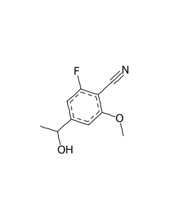 COc1cc(C(C)O)cc(F)c1C#N